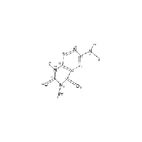 CC(C)n1c(=O)c2cc(N(C)C)ncc2n(C)c1=O